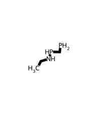 CCNPCP